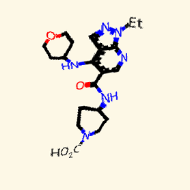 CCn1ncc2c(NC3CCOCC3)c(C(=O)NC3CCN(C(=O)O)CC3)cnc21